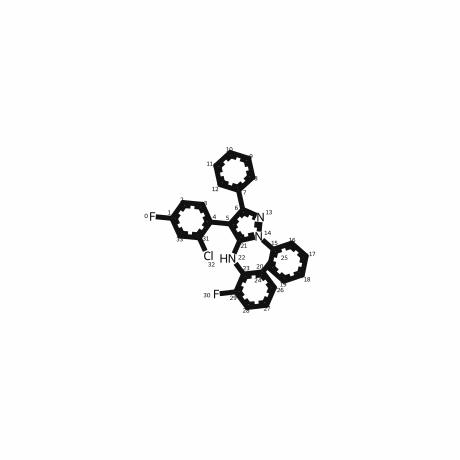 Fc1ccc(-c2c(-c3ccccc3)nn(-c3ccccc3)c2Nc2c(F)cccc2F)c(Cl)c1